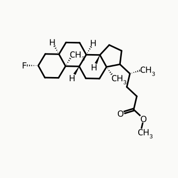 COC(=O)CC[C@@H](C)C1CC[C@H]2[C@@H]3CC[C@@H]4C[C@@H](F)CC[C@]4(C)[C@H]3CC[C@]12C